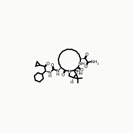 CC1(C)[C@@H]2[C@H]3C(=O)N[C@H](C(=O)C(N)=O)CCCCCCCC[C@H](NC(=O)N[C@H](C(=O)C4CC4)C4CCCCC4)C(=O)N3C[C@@H]21